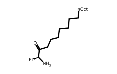 CCCCCCCCCCCCCCCC(=O)[C@@H](N)CC